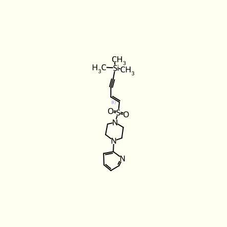 C[Si](C)(C)C#C/C=C/S(=O)(=O)N1CCN(c2ccccn2)CC1